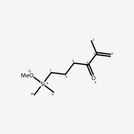 C=C(C)C(=O)CCC[Si](C)(C)OC